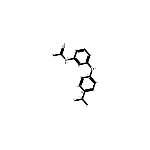 CC(=O)Nc1cccc(Oc2ccc(C(C)C)cc2)c1